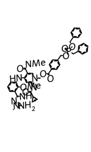 CNC(=O)c1cn(COC(=O)c2ccc(COP(=O)(Cc3ccccc3)OCc3ccccc3)cc2)/c(=N/C(=O)C2CC2)cc1Nc1cccc(/C(N)=N/N(C)N)c1OC